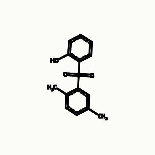 Cc1ccc(C)c(S(=O)(=O)c2ccccc2O)c1